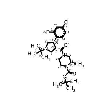 C[C@@H]1CN(C(=O)[C@@H]2CN(C(C)(C)C)C[C@H]2c2ccc(Cl)cc2F)CCN1C(=O)OC(C)(C)C